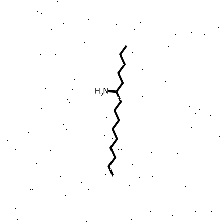 CCCCCCCCCC(N)CCCCC